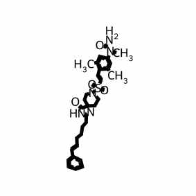 Cc1cc(N(C)C(N)=O)cc(C)c1/C=C/S(=O)(=O)N1CCC2(CC1)N=C(CCCC/C=C/c1ccccc1)NC2=O